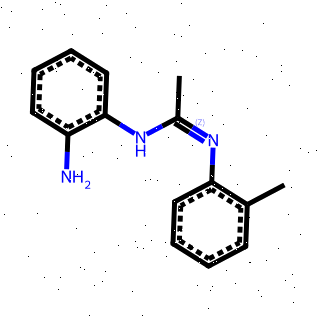 C/C(=N/c1ccccc1C)Nc1ccccc1N